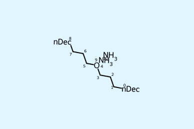 CCCCCCCCCCCCCOCCCCCCCCCCCCC.N.N